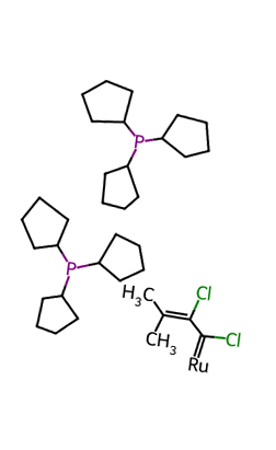 C1CCC(P(C2CCCC2)C2CCCC2)C1.C1CCC(P(C2CCCC2)C2CCCC2)C1.CC(C)=C(Cl)[C](Cl)=[Ru]